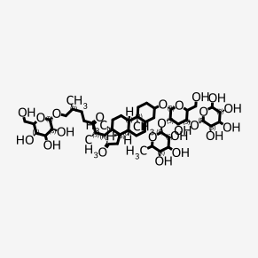 CC1O[C@@H](O[C@H]2C(O)[C@H](O[C@@H]3OC(O)[C@H](O)C(O)[C@@H]3O)C(CO)O[C@H]2OC2CC[C@@]3(C)C(=CC[C@H]4[C@@H]5CC(=O)[C@H]([C@H](C)C(=O)CC[C@@H](C)CO[C@@H]6OC(CO)[C@@H](O)C(O)[C@@H]6O)[C@@]5(C)CC[C@@H]43)C2)[C@@H](O)C(O)[C@H]1O